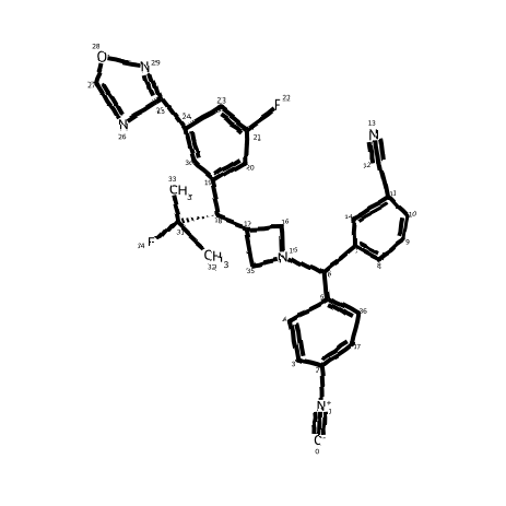 [C-]#[N+]c1ccc(C(c2cccc(C#N)c2)N2CC([C@@H](c3cc(F)cc(-c4ncon4)c3)C(C)(C)F)C2)cc1